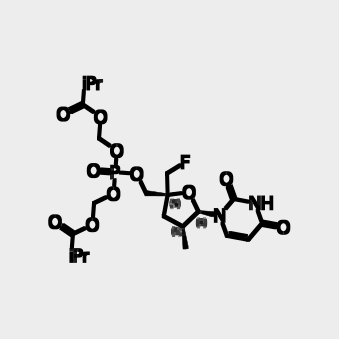 CC(C)C(=O)OCOP(=O)(OCOC(=O)C(C)C)OC[C@]1(CF)C[C@H](C)[C@H](n2ccc(=O)[nH]c2=O)O1